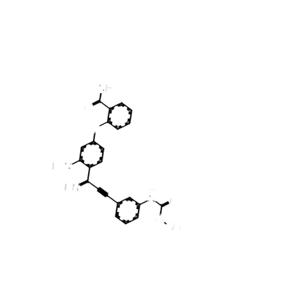 CCCOC(=O)Nc1cccc(C#CC(=N)c2ccc(Sc3ccccc3C(N)=O)cc2N)c1